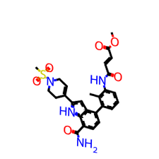 COC(=O)C=CC(=O)Nc1cccc(-c2ccc(C(N)=O)c3[nH]c(C4=CCN(S(C)(=O)=O)CC4)cc23)c1C